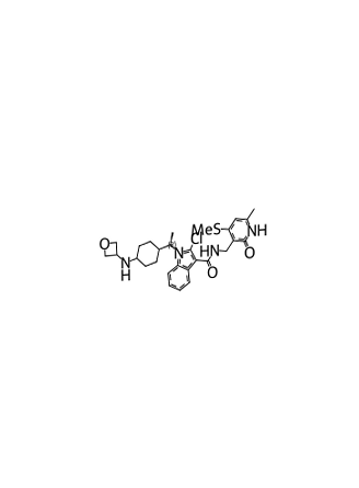 CSc1cc(C)[nH]c(=O)c1CNC(=O)c1c(Cl)n([C@H](C)C2CCC(NC3COC3)CC2)c2ccccc12